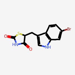 O=C1NC(=O)C(Cc2c[nH]c3cc(Br)ccc23)S1